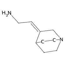 NCC=C1CN2CCC1CC2